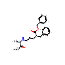 CCCCC(NCCCC(Cc1ccccc1)C(=O)OCc1ccccc1)C(=O)OC